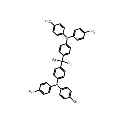 Cc1ccc(N(c2ccc(C)cc2)c2ccc(C(c3ccc(N(c4ccc(C)cc4)c4ccc(C)cc4)cc3)(C(F)(F)F)C(F)(F)F)cc2)cc1